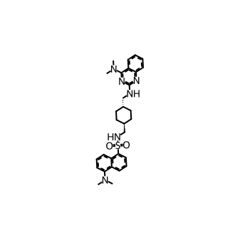 CN(C)c1nc(NC[C@H]2CC[C@H](CNS(=O)(=O)c3cccc4c(N(C)C)cccc34)CC2)nc2ccccc12